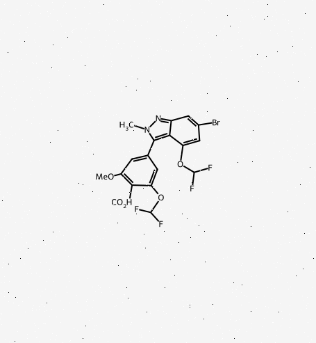 COc1cc(-c2c3c(OC(F)F)cc(Br)cc3nn2C)cc(OC(F)F)c1C(=O)O